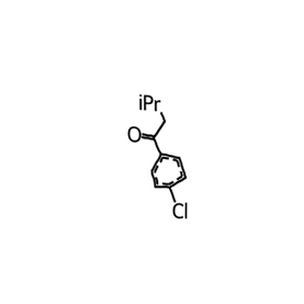 [CH2]C(C)CC(=O)c1ccc(Cl)cc1